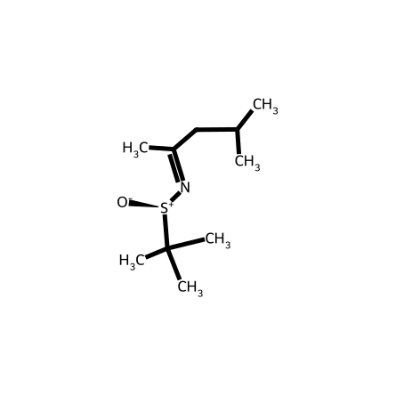 CC(CC(C)C)=N[S@+]([O-])C(C)(C)C